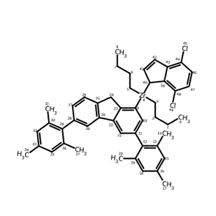 CCC[CH2][Zr]([CH2]CCC)([c]1cc(-c2c(C)cc(C)cc2C)cc2c1Cc1ccc(-c3c(C)cc(C)cc3C)cc1-2)[CH]1C=Cc2c(Cl)ccc(Cl)c21